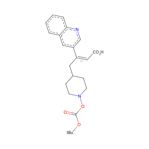 CC(C)(C)OC(=O)ON1CCC(C/C(=C/C(=O)O)c2cnc3ccccc3c2)CC1